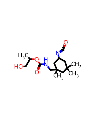 CC(CO)OC(=O)NCC1(C)CC(N=C=O)CC(C)(C)C1